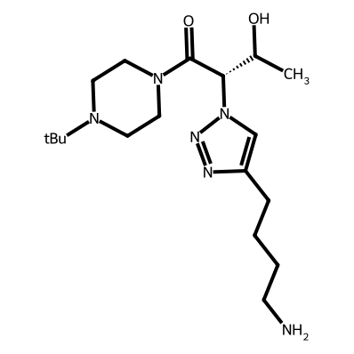 CC(O)[C@@H](C(=O)N1CCN(C(C)(C)C)CC1)n1cc(CCCCN)nn1